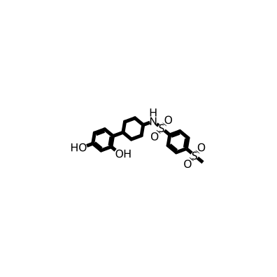 CS(=O)(=O)c1ccc(S(=O)(=O)NC2CCC(c3ccc(O)cc3O)CC2)cc1